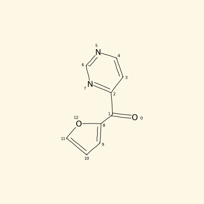 O=C(c1ccn[c]n1)c1ccco1